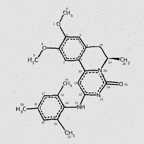 COc1cc2c(cc1OC)-c1cc(Nc3c(C)cc(C)cc3C)nc(=O)n1[C@H](C)C2